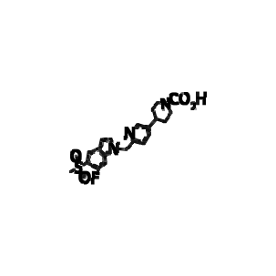 CS(=O)(=O)c1cc2ccn(Cc3ccc(C4CCN(C(=O)O)CC4)cn3)c2cc1F